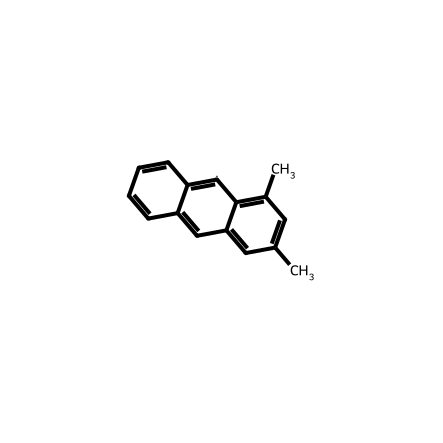 Cc1cc(C)c2[c]c3ccccc3cc2c1